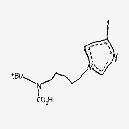 CC(C)(C)N(CCn1cnc(I)c1)C(=O)O